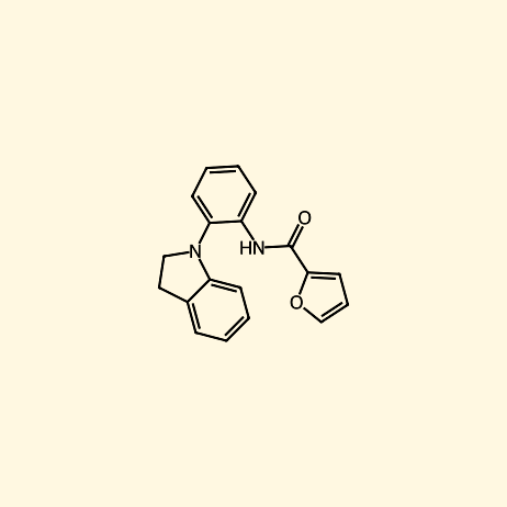 O=C(Nc1ccccc1N1CCc2ccccc21)c1ccco1